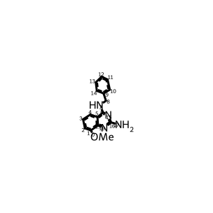 COc1cccc2c(NCc3ccccc3)nc(N)nc12